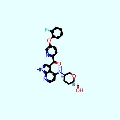 O=C(c1ccc(Oc2ccccc2F)cn1)c1c[nH]c2nccc(N[C@@H]3CC[C@@H](CO)OC3)c12